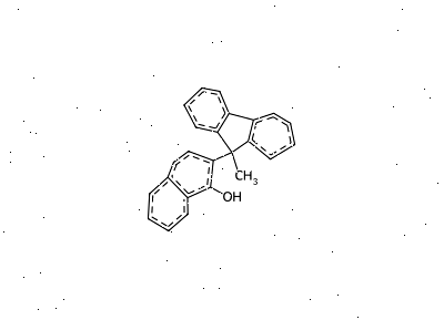 CC1(c2ccc3ccccc3c2O)c2ccccc2-c2ccccc21